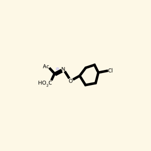 CC(=O)/C(=N/OC1CCC(Cl)CC1)C(=O)O